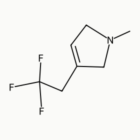 CN1CC=C(CC(F)(F)F)C1